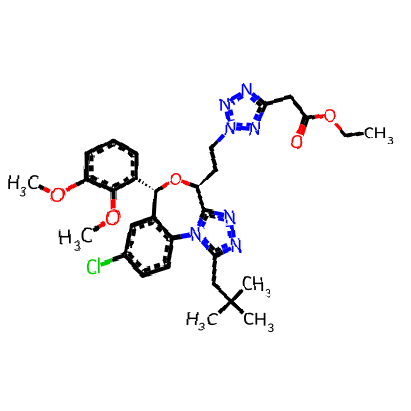 CCOC(=O)Cc1nnn(CC[C@@H]2O[C@@H](c3cccc(OC)c3OC)c3cc(Cl)ccc3-n3c(CC(C)(C)C)nnc32)n1